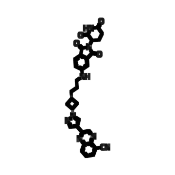 N#Cc1cccc2nc(-c3cnn([C@H]4C[C@H](CCCNc5ccc6c(c5)C(=O)N(C5CCC(=O)NC5=O)C6=O)C4)c3)cnc12